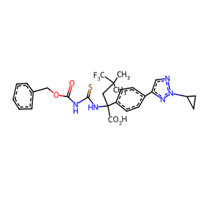 CC(C)(CC(NC(=S)NC(=O)OCc1ccccc1)(C(=O)O)c1ccc(-c2cnn(C3CC3)n2)cc1)C(F)(F)F